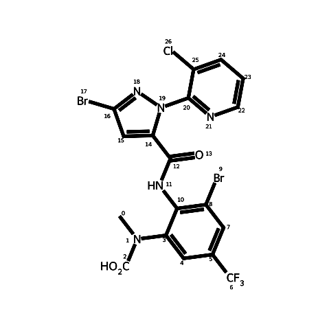 CN(C(=O)O)c1cc(C(F)(F)F)cc(Br)c1NC(=O)c1cc(Br)nn1-c1ncccc1Cl